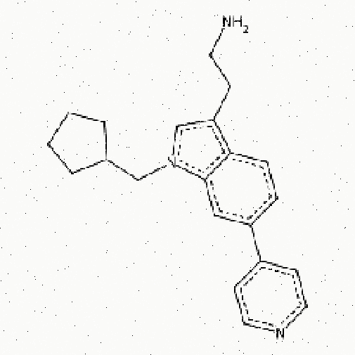 NCCc1cn(CC2CCCC2)c2cc(-c3ccncc3)ccc12